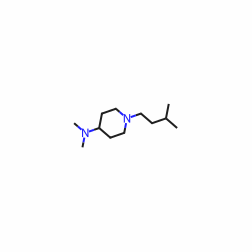 CC(C)CCN1CCC(N(C)C)CC1